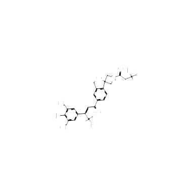 O=C(C=C(c1cc(Cl)c(F)c(Cl)c1)C(F)(F)F)c1ccc2c(c1)COC21CN(C(=O)CC(F)(F)F)C1